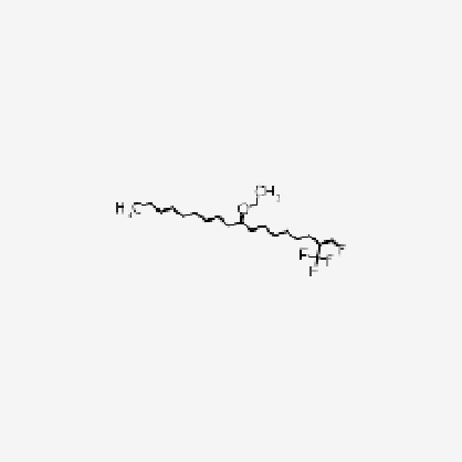 CCCCCCCCCC(CCCCCCC(CF)C(F)(F)F)OCC